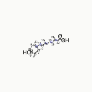 CC1=C=C(C)[C@@](C)(O)CC/C(C)=C1/C=C/C(C)=C/C=C/C(C)=C/C(=O)O